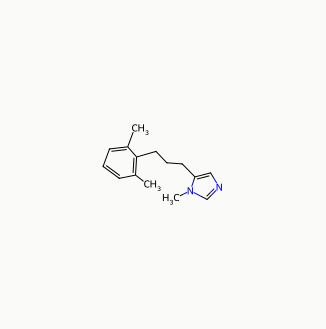 Cc1cccc(C)c1CCCc1cncn1C